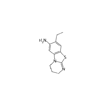 CCc1cc2c(cc1N)N1CCCN=C1S2